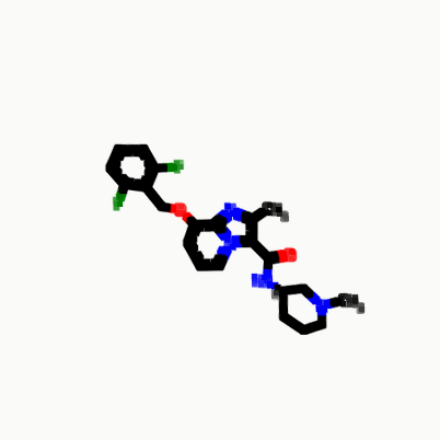 Cc1nc2c(OCc3c(F)cccc3F)cccn2c1C(=O)N[C@H]1CCCN(C)C1